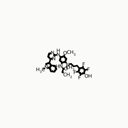 C=CC(=O)Nc1cc(Nc2nccc(-c3cn(C)c4ccccc34)n2)c(OC)cc1N(C)CCCc1c(F)c(F)c(O)c(F)c1F